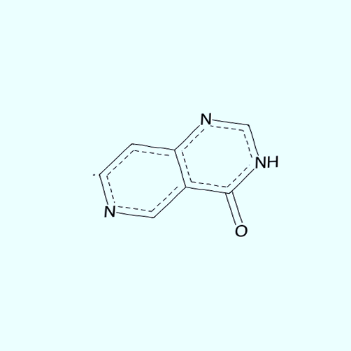 O=c1[nH]cnc2c[c]ncc12